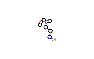 N#Cc1cncc(-c2cccc(-c3cccc(-n4c5ccccc5c5ccc6oc7ccccc7c6c54)c3)c2)c1